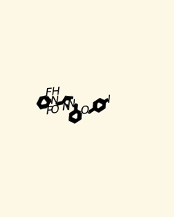 O=C(Nc1c(F)cccc1F)c1ccn(Cc2ccccc2OCc2ccc(I)cc2)n1